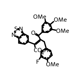 COc1ccc(CC(C(=O)c2cc(OC)c(OC)c(OC)c2)=C(C(=O)O)c2ccc3nsnc3c2)cc1F